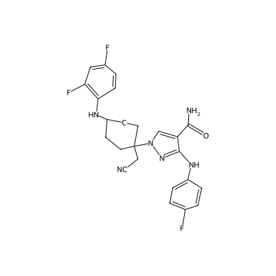 N#CCC1(n2cc(C(N)=O)c(Nc3ccc(F)cc3)n2)CCC(Nc2ccc(F)cc2F)CC1